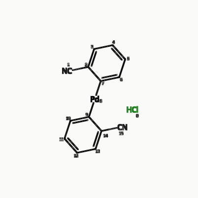 Cl.N#Cc1cccc[c]1[Pd][c]1ccccc1C#N